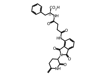 C=C1CCC(N2C(=O)c3cccc(NC(=O)CCC(=O)N[C@@H](Cc4ccccc4)C(=O)O)c3C2=O)C(=O)N1